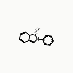 [O-][S+]1C2C=CC=CC2=CN1c1ccccc1